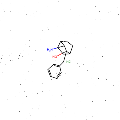 Cl.NC1C2CCC(CC2)C1(O)Cc1ccccc1